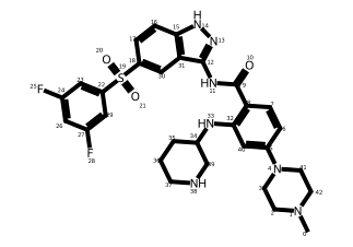 CN1CCN(c2ccc(C(=O)Nc3n[nH]c4ccc(S(=O)(=O)c5cc(F)cc(F)c5)cc34)c(NC3CCCNC3)c2)CC1